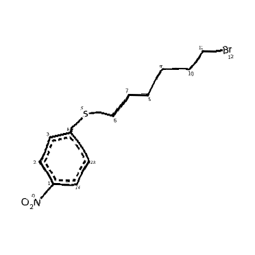 O=[N+]([O-])c1ccc(SCCCCCCBr)cc1